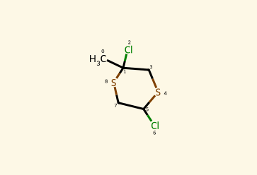 CC1(Cl)CSC(Cl)CS1